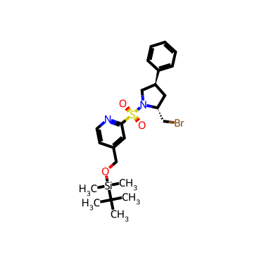 CC(C)(C)[Si](C)(C)OCc1ccnc(S(=O)(=O)N2C[C@@H](c3ccccc3)C[C@@H]2CBr)c1